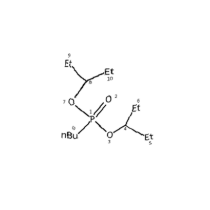 CCCCP(=O)(OC(CC)CC)OC(CC)CC